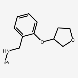 CC(C)NCc1ccccc1OC1CCOC1